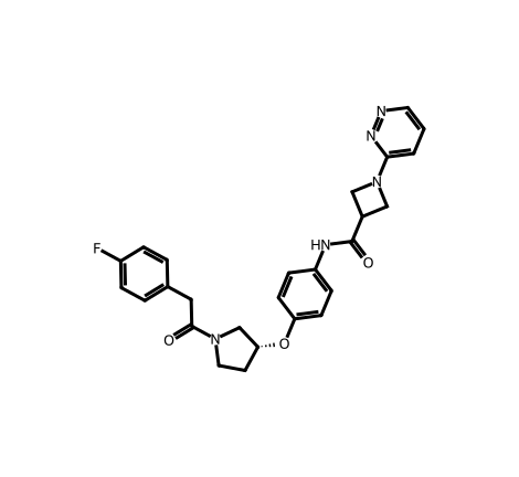 O=C(Nc1ccc(O[C@@H]2CCN(C(=O)Cc3ccc(F)cc3)C2)cc1)C1CN(c2cccnn2)C1